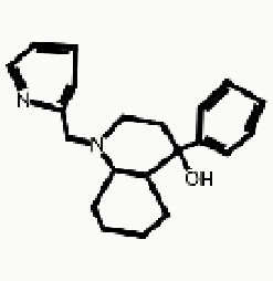 OC1(c2ccccc2)CCN(Cc2ccccn2)C2CCCCC21